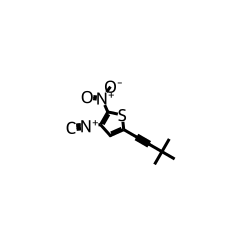 [C-]#[N+]c1cc(C#CC(C)(C)C)sc1[N+](=O)[O-]